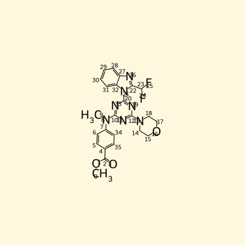 COC(=O)c1ccc(N(C)c2nc(N3CCOCC3)nc(-n3c(C(F)F)nc4ccccc43)n2)cc1